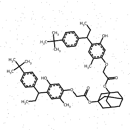 CCC(c1ccc(C(C)(C)C)cc1)c1cc(C)c(OCC(=O)OC23CC4CC(C2)CC(OC(=O)COc2cc(O)c(C(CC)c5ccc(C(C)(C)C)cc5)cc2C)(C4)C3)cc1O